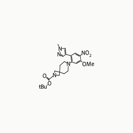 COc1cc(N2CCC3(CC2)CN(C(=O)OC(C)(C)C)C3)c(-c2cnn(C)c2)cc1[N+](=O)[O-]